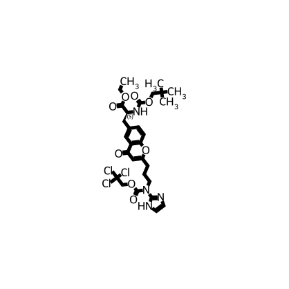 CCOC(=O)[C@H](Cc1ccc2oc(CCCN(C(=O)OCC(Cl)(Cl)Cl)c3ncc[nH]3)cc(=O)c2c1)NC(=O)OCC(C)(C)C